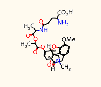 COc1ccc2c3c1O[C@H]1C(OC(=O)C(C)OC(=O)C(C)NC(=O)CCC(N)C(=O)O)=CC[C@@]4(O)[C@@H](C2)N(C)CC[C@]314